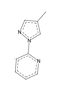 Cc1cnn(-c2[c]cccn2)c1